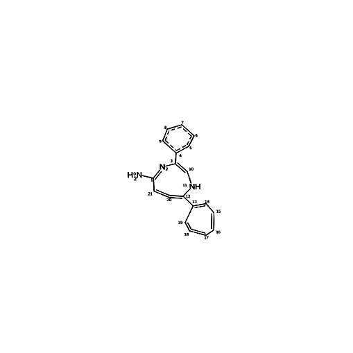 N/C1=N/C(c2ccccc2)=C\NC(C2=CC=CC=C=C2)=C=C1